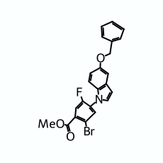 COC(=O)c1cc(F)c(-n2ccc3cc(OCc4ccccc4)ccc32)cc1Br